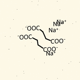 O=C([O-])CCC(=O)[O-].O=C([O-])CCC(=O)[O-].[Na+].[Na+].[Na+].[Na+]